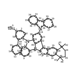 CC(C)(C)c1ccc(N2c3ccccc3B3c4sc5cc6c(cc5c4-c4cc(-n5c7ccccc7c7ccccc75)cc2c43)C(C)(C)CCC6(C)C)c(-c2ccccc2)c1